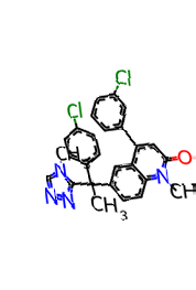 Cn1cnnc1C(C)(c1ccc(Cl)cc1)c1ccc2c(c1)c(-c1cccc(Cl)c1)cc(=O)n2C